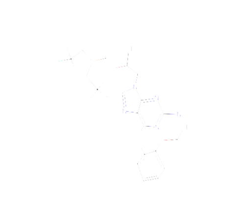 CCOc1ccccc1Sc1nc(N)nc2c1ncn2CC(C)OCP(CC(F)(F)F)CC(F)(F)F